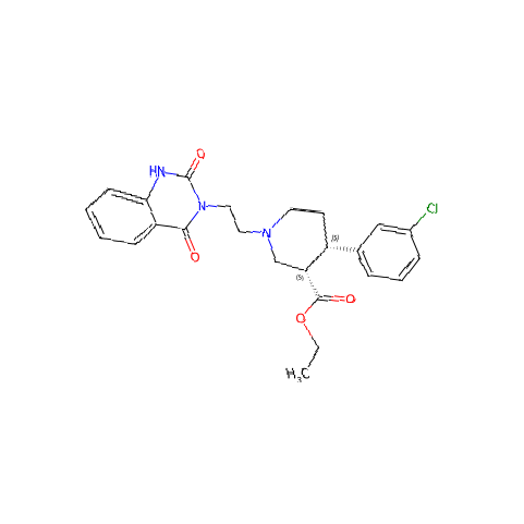 CCOC(=O)[C@@H]1CN(CCn2c(=O)[nH]c3ccccc3c2=O)CC[C@@H]1c1cccc(Cl)c1